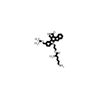 CC(C)OCc1ccc2c(c1)c1c3c(c4c(c1n2CCCOC(=O)C(N)CCCCN)Cc1ccccc1-4)C(=O)NC3